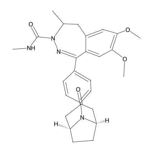 CNC(=O)N1N=C(c2ccc(N3[C@@H]4CC[C@H]3CC(=O)C4)cc2)c2cc(OC)c(OC)cc2CC1C